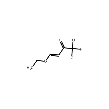 CCOC=CC(=O)C(F)(Cl)Cl